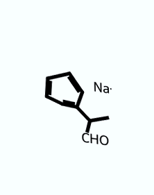 CC(C=O)c1ccccc1.[Na]